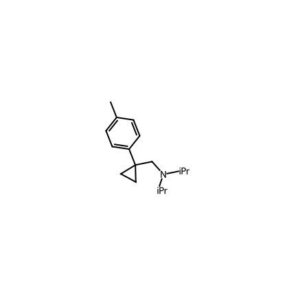 Cc1ccc(C2(CN(C(C)C)C(C)C)CC2)cc1